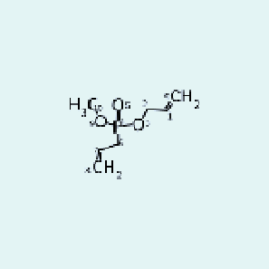 C=CCOP(=O)(CC=C)OC